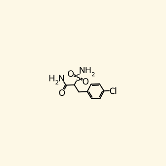 NC(=O)C(Cc1ccc(Cl)cc1)S(N)(=O)=O